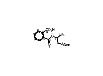 CCCCCCCCCCCC(OC(=O)c1ccccc1C(=O)O)C(C)CC